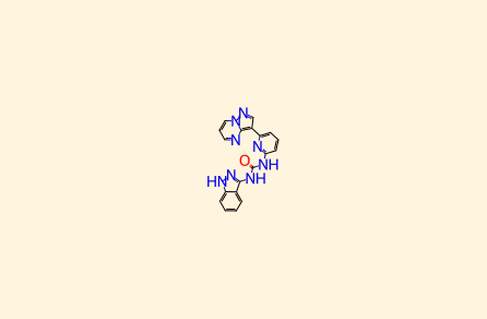 O=C(Nc1cccc(-c2cnn3cccnc23)n1)Nc1n[nH]c2ccccc12